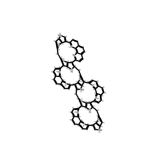 c1cc2ccc3ccc4nc3c2nc1-c1c[nH]c2cc([nH]c12)Cc1[nH]c2c-4c3[nH]c2c1-c1ccc2ccc4ccc(nc4c2n1)-c1c2[nH]c4c(c([nH]c14)C3)-c1ccc3ccc4ccc(nc4c3n1)-c1c3[nH]c4c(c([nH]c14)C2)-c1ccc2ccc4ccc(nc4c2n1)-c1c[nH]c2cc([nH]c12)C3